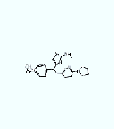 COc1ccc(C(Cc2ccc(N3CCCC3)nc2)c2csc(N)n2)cc1